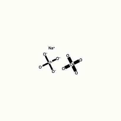 [Na+].[O-][I+3]([O-])([O-])[O-].[O]=[Os](=[O])(=[O])=[O]